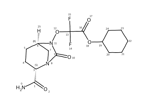 NC(=O)[C@@H]1CC[C@@H]2CN1C(=O)N2OC(F)(F)C(=O)OC1CCCCC1